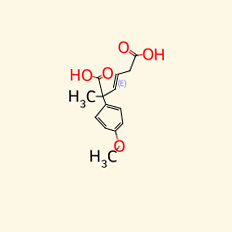 COc1ccc(C(C)(/C=C/CC(=O)O)C(=O)O)cc1